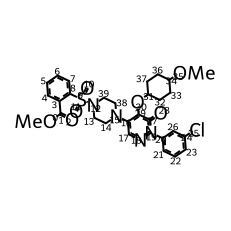 COC(=O)c1ccccc1S(=O)(=O)N1CCN(c2cnn(-c3cccc(Cl)c3)c(=O)c2OC2CCC(OC)CC2)CC1